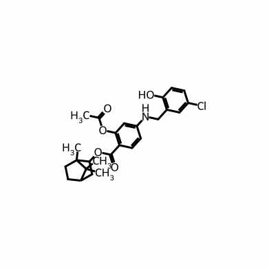 CC(=O)Oc1cc(NCc2cc(Cl)ccc2O)ccc1C(=O)OC1CC2CCC1(C)C2(C)C